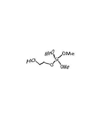 CO[Si](OC)(OC)OCCO